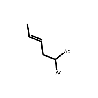 CC=CCC(C(C)=O)C(C)=O